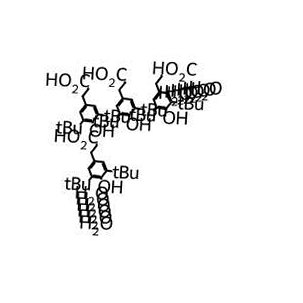 CC(C)(C)c1cc(CCC(=O)O)cc(C(C)(C)C)c1O.CC(C)(C)c1cc(CCC(=O)O)cc(C(C)(C)C)c1O.CC(C)(C)c1cc(CCC(=O)O)cc(C(C)(C)C)c1O.CC(C)(C)c1cc(CCC(=O)O)cc(C(C)(C)C)c1O.O.O.O.O.O.O.O.O.O.O.O.O